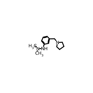 CN(C)Nc1cccc(CN2CCCC2)c1